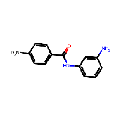 Nc1cccc(NC(=O)c2ccc([N+](=O)[O-])cc2)c1